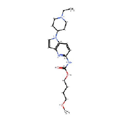 CCN1CCC(n2ccc3nc(NC(=O)OCCCCOC)ccc32)CC1